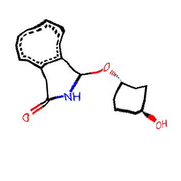 O=C1NC(O[C@H]2C[C@H](O)C2)c2ccccc21